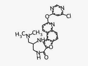 CN(C)CC1CNC(=O)c2oc3ccc4nc(Oc5cc(Cl)ncn5)ccc4c3c2N1